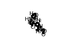 CC(C)n1c([C@@H]2COC(=O)N2)nc2c(F)cc(-c3nc(N[C@@H]4C[C@H]5CO[C@H](O5)[C@H]4O)ncc3Cl)cc21